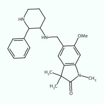 COc1cc2c(cc1CNC1CCCNC1c1ccccc1)C(C)(C)C(=O)N2C